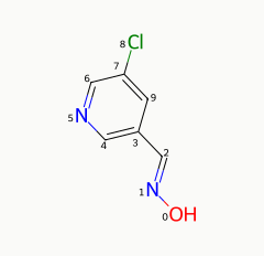 ON=Cc1cncc(Cl)c1